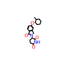 CC1CCCC[C@@H]1Oc1ccc2c(c1)CN(C1CCC(=O)NC1=O)C2=O